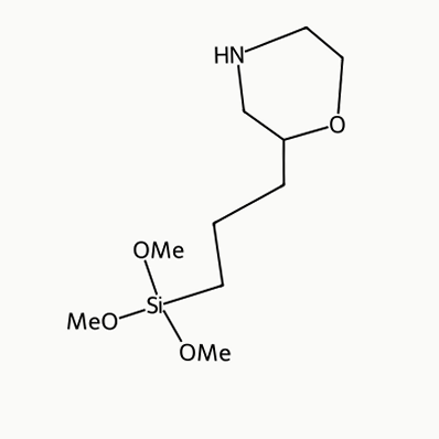 CO[Si](CCCC1CNCCO1)(OC)OC